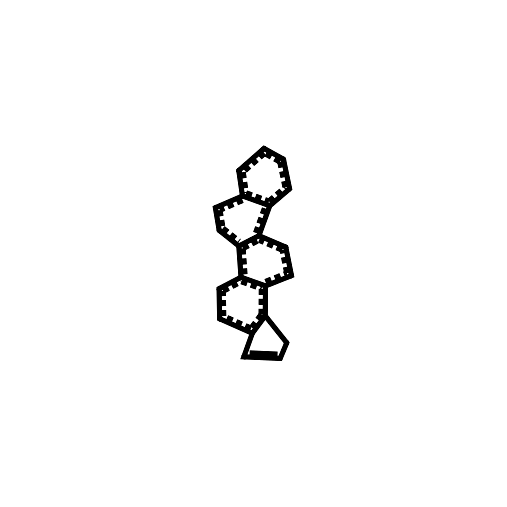 C1=Cc2ccc3c(ccc4c5ccccc5ccc34)c2C1